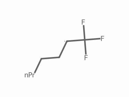 CCCCC[CH]C(F)(F)F